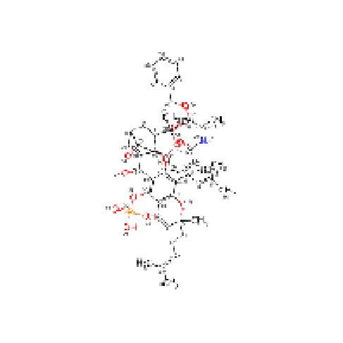 CC(C)=CCCC1(C)C=Cc2c(c(CC=C(C)C)c3c(c2OP(=O)(O)O)C(=O)C2=CC4CC5C(C)(C)OC(C/C=C(/C)C(=O)NC(C)C(=O)OCc6ccccc6)(C4=O)C25O3)O1